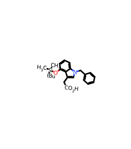 CC(C)(C)[Si](C)(C)Oc1cccc2c1c(CC(=O)O)cn2Cc1ccccc1